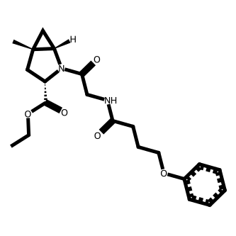 CCOC(=O)[C@@H]1C[C@]2(C)C[C@@H]2N1C(=O)CNC(=O)CCCOc1ccccc1